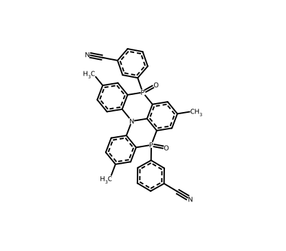 Cc1ccc2c(c1)P(=O)(c1cccc(C#N)c1)c1cc(C)cc3c1N2c1ccc(C)cc1P3(=O)c1cccc(C#N)c1